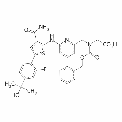 CC(C)(O)c1ccc(-c2cc(C(N)=O)c(Nc3cccc(CN(CC(=O)O)C(=O)OCc4ccccc4)n3)s2)c(F)c1